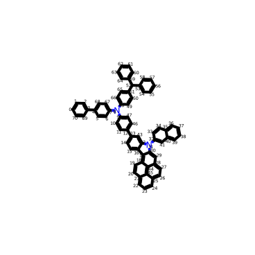 c1ccc(-c2ccc(N(c3ccc(-c4ccc5c6c7ccc8cccc9ccc(cc6n(-c6ccc%10ccccc%10c6)c5c4)c7c98)cc3)c3ccc(C(c4ccccc4)c4ccccc4)cc3)cc2)cc1